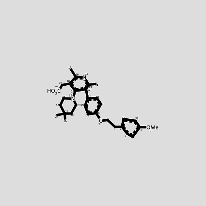 COc1ccc(CCOc2ccc(-c3c(C)nc(C)c(CC(=O)O)c3N3CCC(C)(C)CC3)cc2)cc1